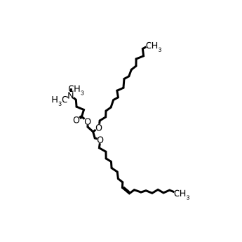 CCCCCCCC/C=C\CCCCCCCCOCC(COC(=O)CCCN(C)C)OCCCCCCCCCCCCCCCC